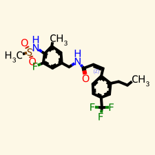 CCCc1cc(C(F)(F)F)ccc1/C=C\C(=O)NCc1cc(C)c(NS(C)(=O)=O)c(F)c1